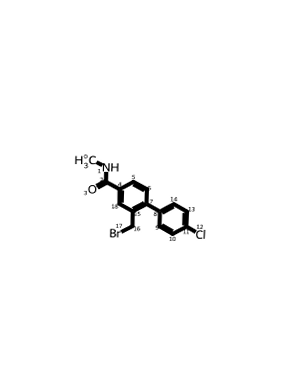 CNC(=O)c1ccc(-c2ccc(Cl)cc2)c(CBr)c1